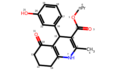 CCCOC(=O)C1=C(C)NC2=C(C(=O)CCC2)C1c1cccc(O)c1